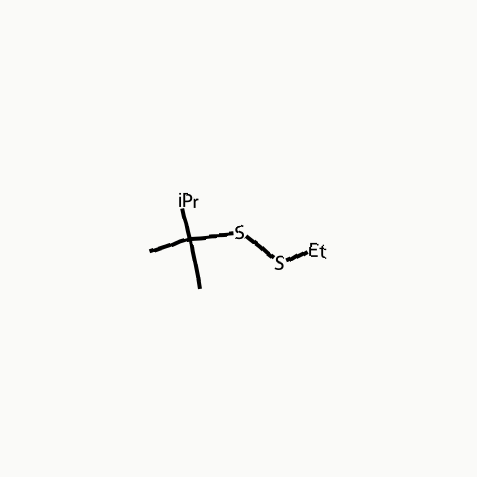 CCSSC(C)(C)C(C)C